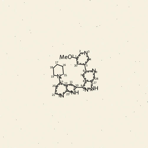 COc1cncc(-c2cc3c(-c4cc5c(N6CCCCC6)ccnc5[nH]4)n[nH]c3cn2)c1